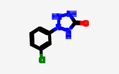 O=C1NNN(c2cccc(Cl)c2)N1